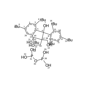 CCC(C)c1cc(C(C)(C)C)c(C(O)(c2c(C(C)(C)C)cc(C(C)CC)cc2C(C)(C)C)C(CO)(CO)CO)c(C(C)(C)C)c1.OP(O)OP(O)O